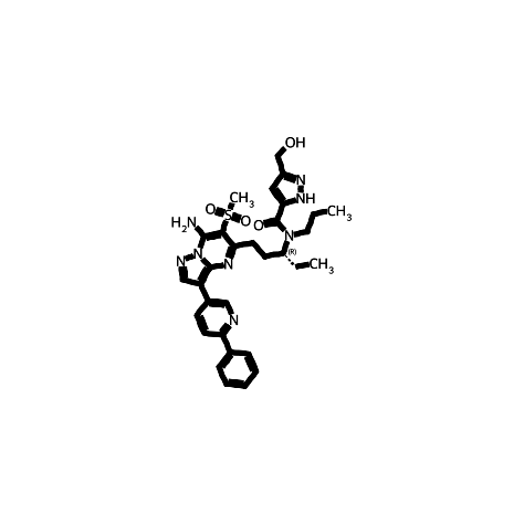 CCCN(C(=O)c1cc(CO)n[nH]1)[C@H](CC)CCc1nc2c(-c3ccc(-c4ccccc4)nc3)cnn2c(N)c1S(C)(=O)=O